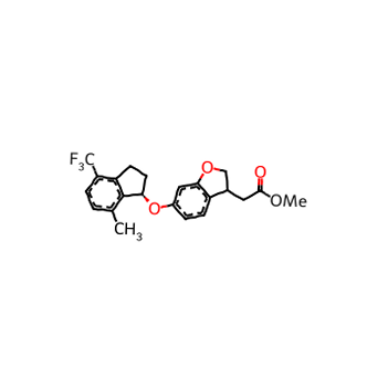 COC(=O)CC1COc2cc(O[C@@H]3CCc4c(C(F)(F)F)ccc(C)c43)ccc21